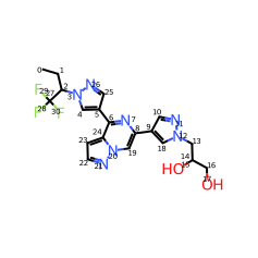 CCC(n1cc(-c2nc(-c3cnn(CC(O)CO)c3)cn3nccc23)cn1)C(F)(F)F